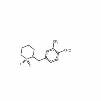 O=Cc1ncc(CN2CCCCS2(=O)=O)cc1C(F)(F)F